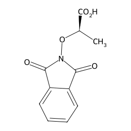 C[C@@H](ON1C(=O)c2ccccc2C1=O)C(=O)O